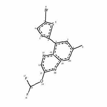 Cc1cc(-c2ncc(Br)s2)c2ncc(OC(F)F)nc2c1